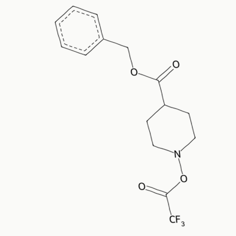 O=C(OCc1ccccc1)C1CCN(OC(=O)C(F)(F)F)CC1